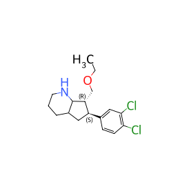 CCOC[C@H]1C2NCCCC2C[C@@H]1c1ccc(Cl)c(Cl)c1